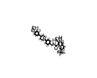 CCC1=C(C(=O)NCc2ccc(N3CCC(c4ccc(OC)cc4)CC3)cc2)N2C=C(C(F)(F)F)C=CC2=CN1